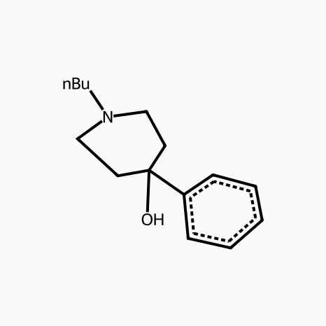 CCCCN1CCC(O)(c2ccccc2)CC1